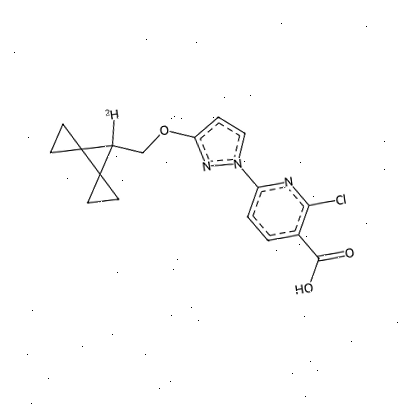 [2H]C1(COc2ccn(-c3ccc(C(=O)O)c(Cl)n3)n2)C2(CC2)C12CC2